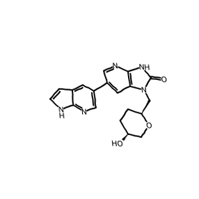 O=c1[nH]c2ncc(-c3cnc4[nH]ccc4c3)cc2n1C[C@@H]1CC[C@H](O)CO1